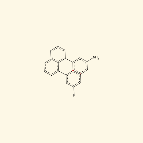 Nc1cccc(-c2cccc3cccc(-c4cccc(F)c4)c23)c1